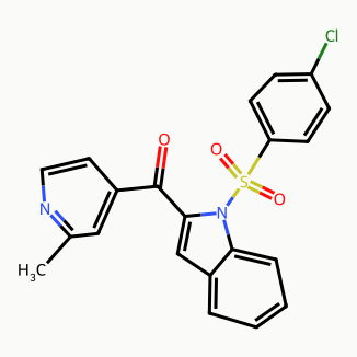 Cc1cc(C(=O)c2cc3ccccc3n2S(=O)(=O)c2ccc(Cl)cc2)ccn1